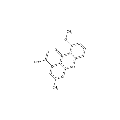 COc1cccc2oc3cc(C)cc(C(=O)O)c3c(=O)c12